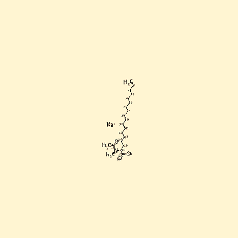 CCCCCCCCCCCCCCCCC(C(=O)[O-])N(C)C(C)=O.[Na+]